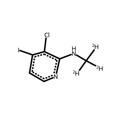 [2H]C([2H])([2H])Nc1nccc(I)c1Cl